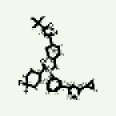 CC(C)(C)c1nc(C23CCC(CN(C(=O)C4CCC(F)(F)CC4)c4cccc(-c5cc(C6CC6)on5)c4)(CC2)CC3)no1